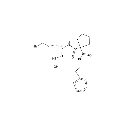 O=C(NCCc1ccccc1)C1(C(=O)N[C@@H](CCCBr)OBO)CCCC1